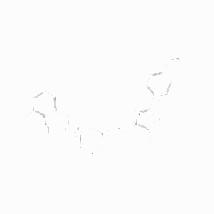 Cc1cccc(CO[C@@H]2CCC[C@H](OCc3nc(-c4ccc(SC(F)(F)F)cc4)oc3C)C2)c1C(=O)O